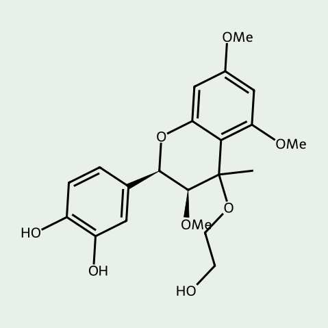 COc1cc(OC)c2c(c1)O[C@H](c1ccc(O)c(O)c1)[C@H](OC)C2(C)OCCO